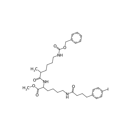 COC(=O)C(CCCCNC(=O)CCCc1ccc(I)cc1)NC(=O)C(C)CCCCNC(=O)OCc1ccccc1